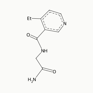 CCc1ccncc1C(=O)NCC(N)=O